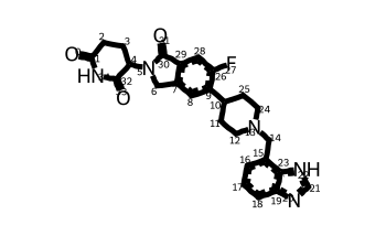 O=C1CCC(N2Cc3cc(C4CCN(Cc5cccc6nc[nH]c56)CC4)c(F)cc3C2=O)C(=O)N1